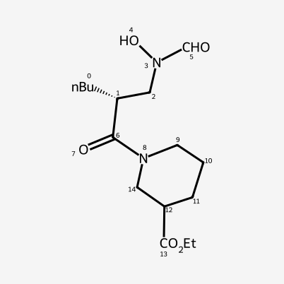 CCCC[C@H](CN(O)C=O)C(=O)N1CCCC(C(=O)OCC)C1